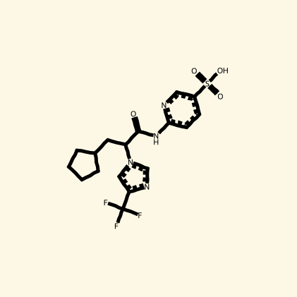 O=C(Nc1ccc(S(=O)(=O)O)cn1)C(CC1CCCC1)n1cnc(C(F)(F)F)c1